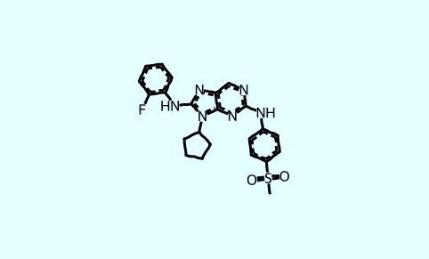 CS(=O)(=O)c1ccc(Nc2ncc3nc(Nc4ccccc4F)n(C4CCCC4)c3n2)cc1